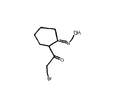 O=C(CBr)C1CCCCC1=NO